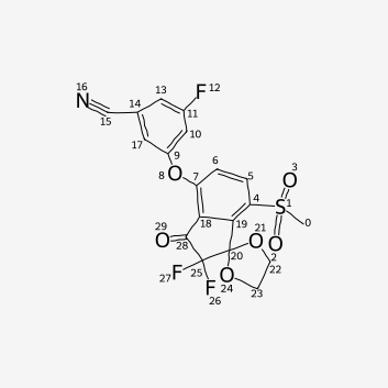 CS(=O)(=O)c1ccc(Oc2cc(F)cc(C#N)c2)c2c1C1(OCCO1)C(F)(F)C2=O